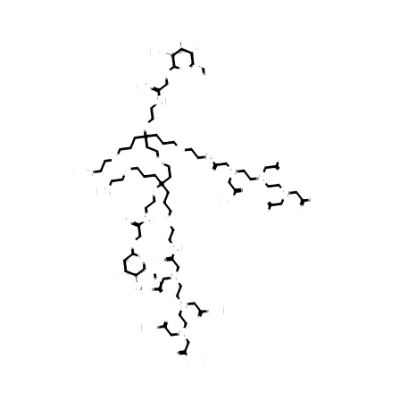 N=C(CSC1O[C@H](CO)[C@@H](O)[C@H](O)[C@@H]1O)NCCSC(CCCSCCN)(CCCSCCNC(=O)CN(CCN(CCN(CC(=O)O)CC(=O)O)CC(=O)O)CC(=O)O)CCOCCC(CCCSCCN)(CCCSCCNC(=O)CN(CCN(CCN(CC(=O)O)CC(=O)O)CC(=O)O)CC(=O)O)SCCNC(=N)CSC1O[C@H](CO)[C@@H](O)[C@H](O)[C@@H]1O